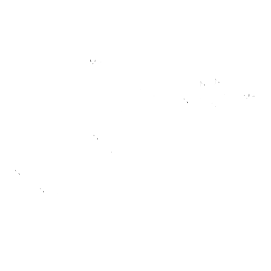 CCN(CC#N)C(=O)c1ccc(-c2nc(COc3cc(OC)cc4oc(-c5cn6nc(OC)sc6n5)cc34)cs2)cc1